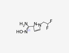 N/C(=N\O)c1ccn(CC(F)F)n1